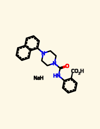 O=C(O)c1ccccc1NC(=O)N1CCN(c2cccc3ccccc23)CC1.[NaH]